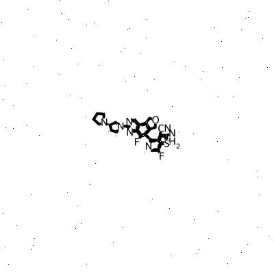 N#Cc1c(N)sc2c(F)cnc(-c3c4c(c5cnc(N6CC[C@@H](N7CCCC7)C6)nc5c3F)COC4)c12